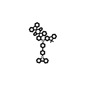 CC1(C)c2ccccc2-c2ccc(N(c3ccc(-c4ccc(-n5c6ccccc6c6ccccc65)cc4)cc3)c3cccc4c3-c3ccccc3C43c4ccccc4C4(c5ccccc5-c5ccccc54)c4ccccc43)cc21